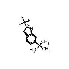 CC(C)(C)c1ccc2c(c1)=N[C@H](C(F)(F)F)C=2